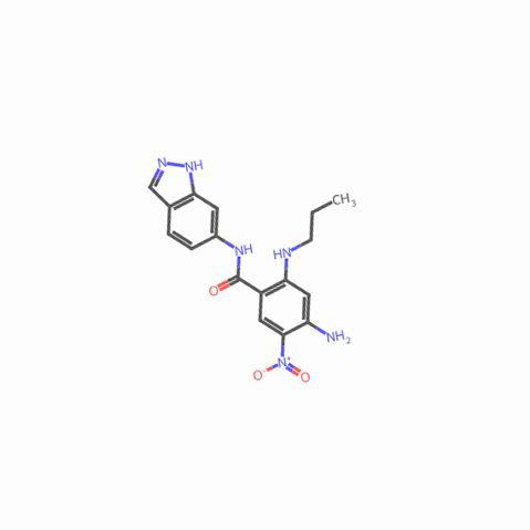 CCCNc1cc(N)c([N+](=O)[O-])cc1C(=O)Nc1ccc2cn[nH]c2c1